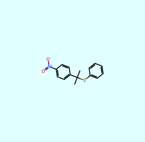 CC(C)(Sc1ccccc1)c1ccc([N+](=O)[O-])cc1